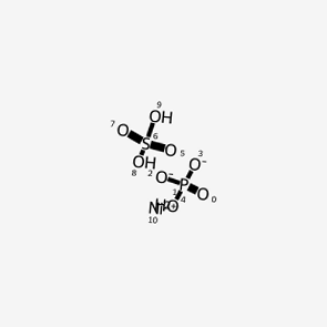 O=P([O-])([O-])O.O=S(=O)(O)O.[Ni+2]